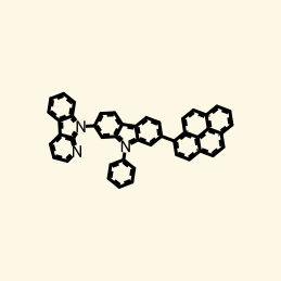 c1ccc(-n2c3cc(-c4ccc5ccc6cccc7ccc4c5c67)ccc3c3ccc(-n4c5ccccc5c5cccnc54)cc32)cc1